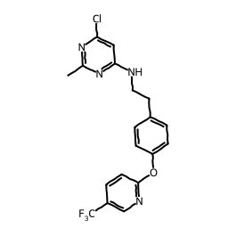 Cc1nc(Cl)cc(NCCc2ccc(Oc3ccc(C(F)(F)F)cn3)cc2)n1